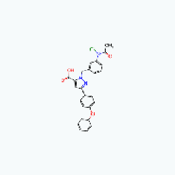 CC(=O)N(Cl)c1cccc(Cn2nc(-c3ccc(Oc4ccccc4)cc3)cc2C(=O)O)c1